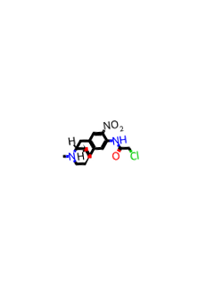 CN1CC[C@]23CCCC[C@H]2[C@H]1Cc1cc([N+](=O)[O-])c(NC(=O)CCl)cc13